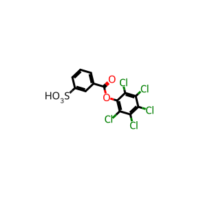 O=C(Oc1c(Cl)c(Cl)c(Cl)c(Cl)c1Cl)c1cccc(S(=O)(=O)O)c1